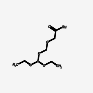 CCOP(OCC)OCOCC(=O)O